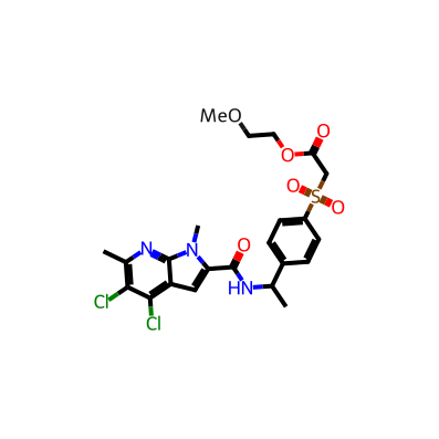 COCCOC(=O)CS(=O)(=O)c1ccc(C(C)NC(=O)c2cc3c(Cl)c(Cl)c(C)nc3n2C)cc1